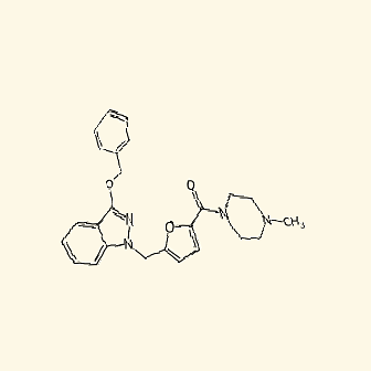 CN1CCN(C(=O)c2ccc(Cn3nc(OCc4ccccc4)c4ccccc43)o2)CC1